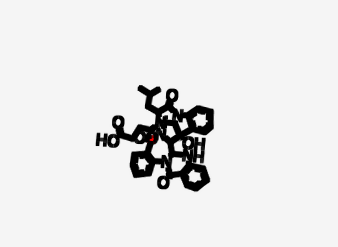 CC(C)CC1C(=O)N2c3ccccc3[C@](O)(C3NC(=O)c4ccccc4N4C(=O)c5ccccc5NC34)C2N1C(=O)CCC(=O)O